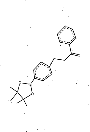 C=C(CCc1ccc(B2OC(C)(C)C(C)(C)O2)cc1)c1ccccc1